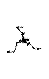 CCCCCCCCCCCCCCCCCCOC(=O)CCc1ccc(OP(Oc2ccc(CCC(=O)OCCCCCCCCCCCCCCCCCC)cc2C(C)(C)C)Oc2ccc(CCC(=O)OCCCCCCCCCCCCCCCCCC)cc2C(C)(C)C)c(C(C)(C)C)c1